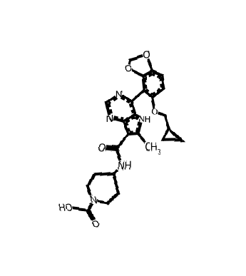 Cc1[nH]c2c(-c3c(OCC4CC4)ccc4c3OCO4)ncnc2c1C(=O)NC1CCN(C(=O)O)CC1